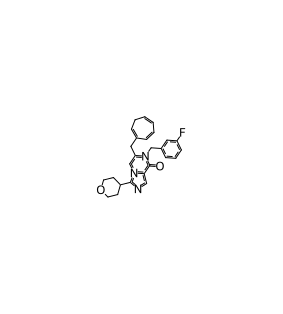 O=c1c2cnc(C3CCOCC3)n2cc(CC2=CCC=CC=C2)n1Cc1cccc(F)c1